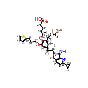 Br.CC(C)(C)c1cc(C(=O)CN2Cc3ccc(C4CC4)nc3C2=N)cc(OCCCc2cccs2)c1OCCCCC(=O)O